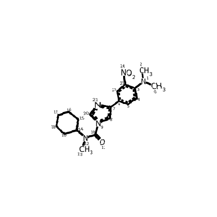 CN(C)c1ccc(-c2cn(C(=O)N(C)C3CCCCC3)cn2)cc1[N+](=O)[O-]